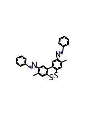 Cc1cc2c(cc1/N=C/c1ccccc1)-c1cc(/N=C/c3ccccc3)c(C)cc1SS2